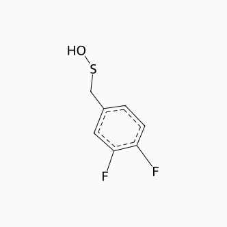 OSCc1ccc(F)c(F)c1